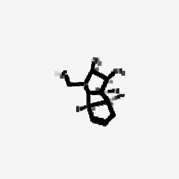 CCN1C2[C@@H]([C@H](C)[C@@H]1C)[C@H]1CC=C[C@@H]21